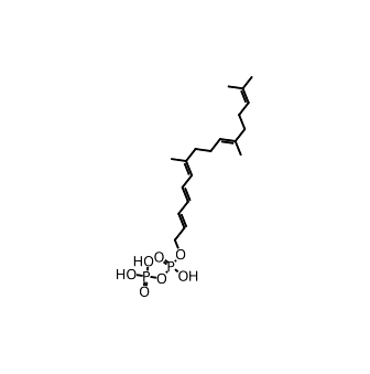 CC(C)=CCCC(C)=CCCC(C)=CC=CC=CCOP(=O)(O)OP(=O)(O)O